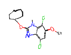 CCOc1cc(Cl)c2nc(OC3CCCCC3)n(C)c2c1Cl